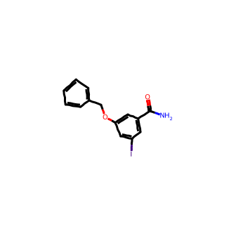 NC(=O)c1cc(I)cc(OCc2ccccc2)c1